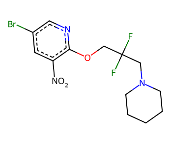 O=[N+]([O-])c1cc(Br)cnc1OCC(F)(F)CN1CCCCC1